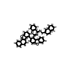 C=N/C(=N\C(=N/Cc1ccc2ccccc2c1)c1ccccc1)c1c(-c2cccc3oc4c5ccccc5ccc4c23)ccc2oc3ccccc3c12